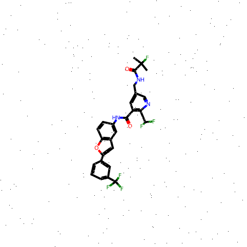 CC(C)(F)C(=O)NCc1cnc(C(F)F)c(C(=O)Nc2ccc3oc(-c4cccc(C(F)(F)F)c4)cc3c2)c1